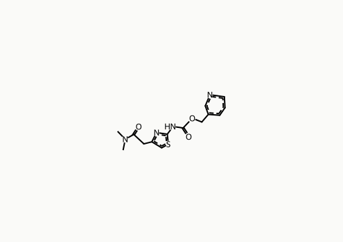 CN(C)C(=O)Cc1csc(NC(=O)OCc2cccnc2)n1